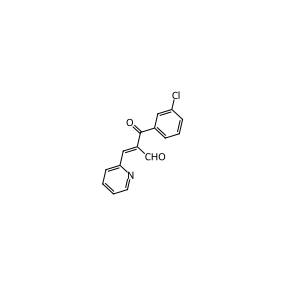 O=C/C(=C\c1ccccn1)C(=O)c1cccc(Cl)c1